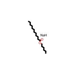 CCCCCCCCCCCC(=O)OCCCCCC.[NaH]